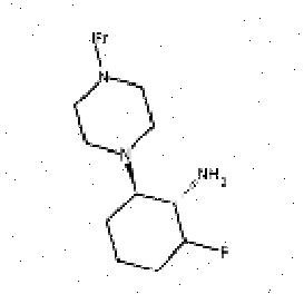 CC(C)N1CCN([C@@H]2CCCC(F)[C@H]2N)CC1